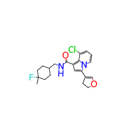 CC1(F)CCC(CNC(=O)c2cc(C3=COCC3)n3cccc(Cl)c23)CC1